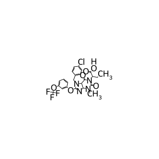 CCC(C(=O)O)N1C(=O)C2C(N=C(Oc3cccc(OC(F)(F)F)c3)N2Cc2ccc(Cl)cc2)N(C)C1=O